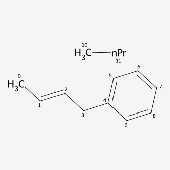 CC=CCc1ccccc1.CCCC